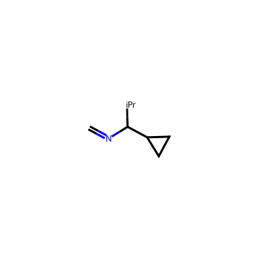 C=NC(C(C)C)C1CC1